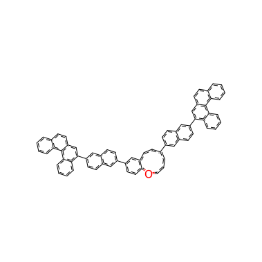 c1coc2ccc(-c3ccc4cc(-c5cc6ccc7ccccc7c6c6ccccc56)ccc4c3)cc2ccc(-c2ccc3cc(-c4cc5ccc6ccccc6c5c5ccccc45)ccc3c2)c1